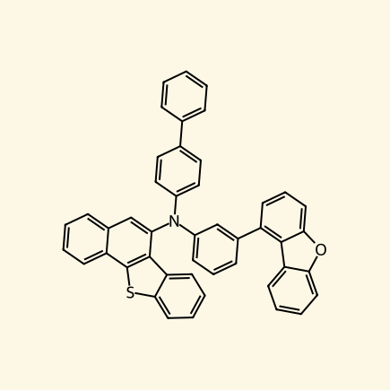 c1ccc(-c2ccc(N(c3cccc(-c4cccc5oc6ccccc6c45)c3)c3cc4ccccc4c4sc5ccccc5c34)cc2)cc1